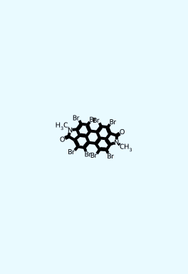 CN1C(=O)c2c(Br)c(Br)c3c4c(Br)c(Br)c5c6c(c(Br)c(Br)c(c7c(Br)c(Br)c1c2c37)c64)C(=O)N5C